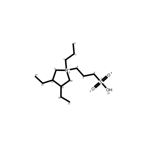 CCC[N+]1(CCCS(=O)(=O)O)CC(CC)C(CC)C1